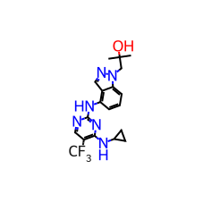 CC(C)(O)Cn1ncc2c(Nc3ncc(C(F)(F)F)c(NC4CC4)n3)cccc21